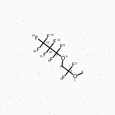 COC(F)(F)COC(F)(F)C(F)(F)C(F)(F)F